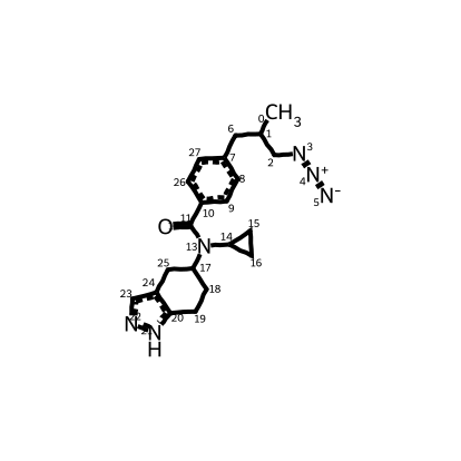 CC(CN=[N+]=[N-])Cc1ccc(C(=O)N(C2CC2)C2CCc3[nH]ncc3C2)cc1